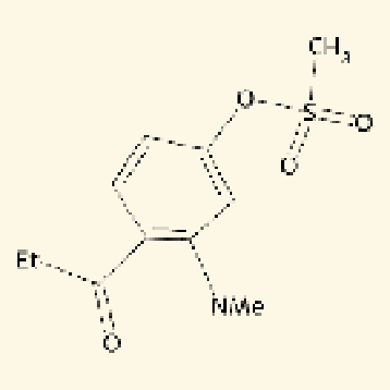 CCC(=O)c1ccc(OS(C)(=O)=O)cc1NC